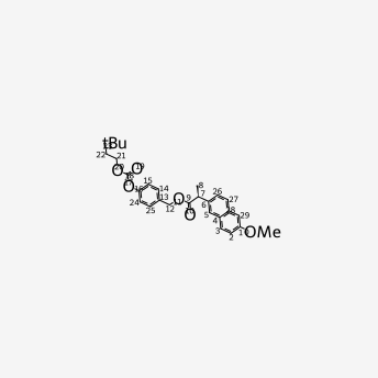 COc1ccc2cc([C@H](C)C(=O)OCc3ccc(OC(=O)OCCC(C)(C)C)cc3)ccc2c1